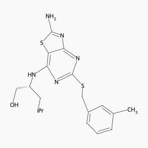 Cc1cccc(CSc2nc(N[C@@H](CO)CC(C)C)c3sc(N)nc3n2)c1